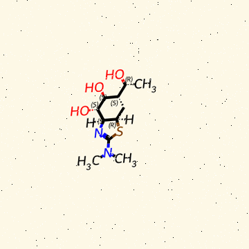 C[C@@H](O)[C@@H]1C[C@H]2SC(N(C)C)=N[C@H]2[C@H](O)[C@H]1O